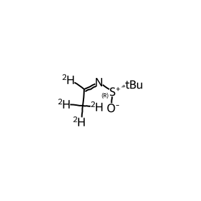 [2H]C(=N[S@@+]([O-])C(C)(C)C)C([2H])([2H])[2H]